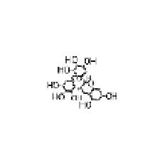 O=C(O)c1cc(O)c(O)c(O)c1[C@H]1Cc2c(O)cc(O)cc2O[C@H]1c1cc(O)c(O)c(O)c1